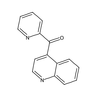 O=C(c1ccccn1)c1ccnc2ccccc12